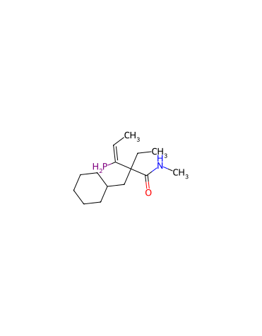 C/C=C(/P)C(CC)(CC1CCCCC1)C(=O)NC